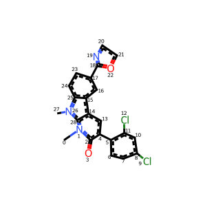 Cn1c(=O)c(-c2ccc(Cl)cc2Cl)cc2c3cc(-c4ncco4)ccc3n(C)c21